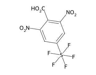 O=C(O)c1c([N+](=O)[O-])cc(S(F)(F)(F)(F)F)cc1[N+](=O)[O-]